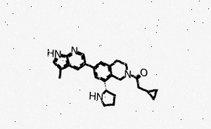 Cc1c[nH]c2ncc(-c3cc4c(c([C@@H]5CCCN5)c3)CN(C(=O)CC3CC3)CC4)cc12